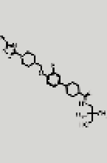 CC(C)c1noc(N2CCC(COc3ccc(C4=CCC(C(=O)NCC(C)(C)CO)CC4)cc3F)CC2)n1